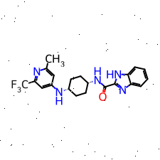 Cc1cc(N[C@H]2CC[C@@H](NC(=O)c3nc4ccccc4[nH]3)CC2)cc(C(F)(F)F)n1